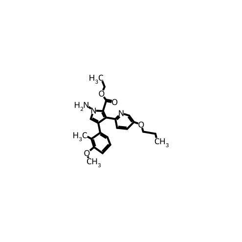 CCCOc1ccc(-c2c(-c3cccc(OC)c3C)cn(N)c2C(=O)OCC)nc1